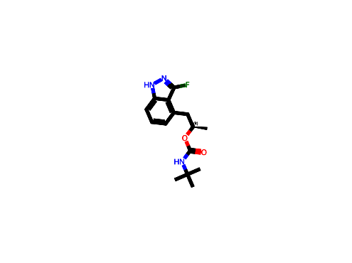 C[C@H](Cc1cccc2[nH]nc(F)c12)OC(=O)NC(C)(C)C